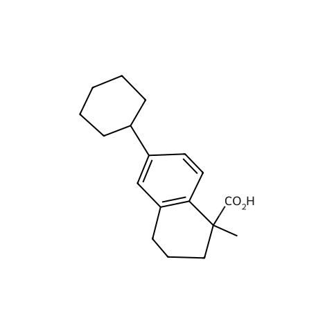 CC1(C(=O)O)CCCc2cc(C3CCCCC3)ccc21